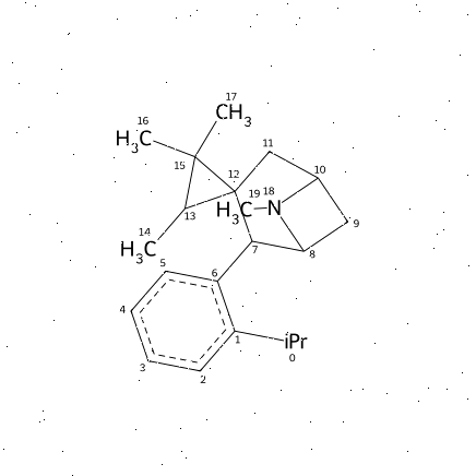 CC(C)c1ccccc1C1C2CC(CC13C(C)C3(C)C)N2C